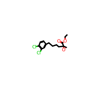 CCOC(=O)C1(CCCCc2ccc(Cl)c(Cl)c2)CO1